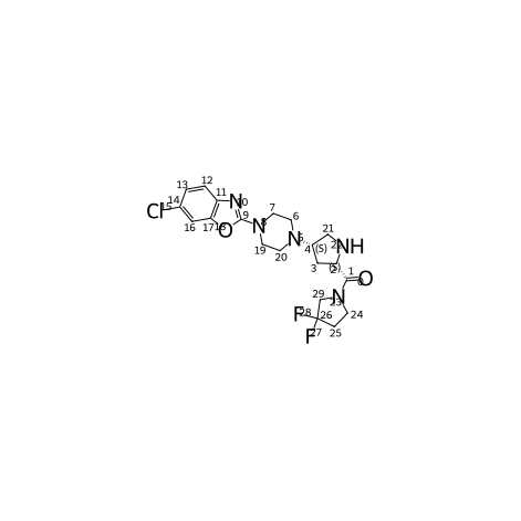 O=C([C@@H]1C[C@H](N2CCN(c3nc4ccc(Cl)cc4o3)CC2)CN1)N1CCC(F)(F)C1